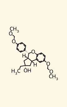 CC[C@@]1(O)C[C@H]2[C@@H](C1)c1cc(OCOC)ccc1O[C@H]2c1ccc(OCOC)cc1